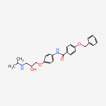 CC(C)NCC(O)COc1ccc(NC(=O)c2ccc(OCc3ccccc3)cc2)cc1